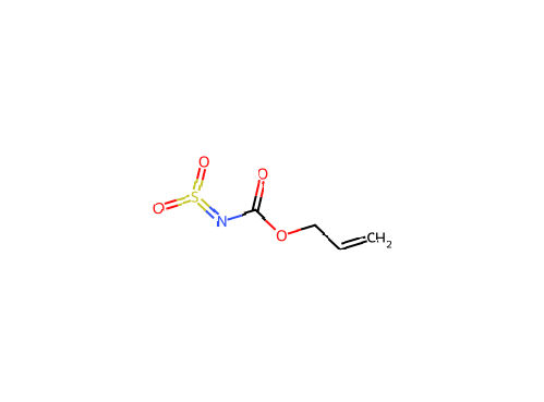 C=CCOC(=O)N=S(=O)=O